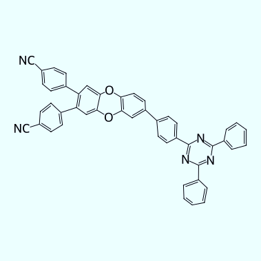 N#Cc1ccc(-c2cc3c(cc2-c2ccc(C#N)cc2)Oc2cc(-c4ccc(-c5nc(-c6ccccc6)nc(-c6ccccc6)n5)cc4)ccc2O3)cc1